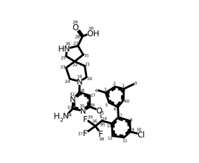 Cc1cc(C)cc(-c2cc(Cl)ccc2[C@@H](Oc2cc(N3CCC4(CC3)CNC(C(=O)O)C4)nc(N)n2)C(F)(F)F)c1